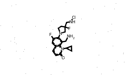 NCc1c(N2CCC(F)(CNCl)C2)c(F)cc2ccc(=O)n(C3CC3)c12